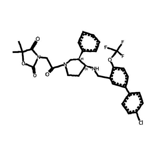 CC1(C)OC(=O)N(CC(=O)N2CC[C@H](NCc3cc(-c4ccc(Cl)cc4)ccc3OC(F)(F)F)[C@H](c3ccccc3)C2)C1=O